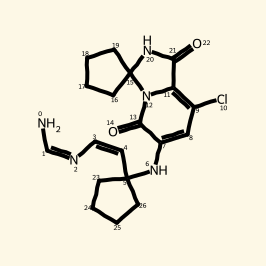 N/C=N\C=C/C1(Nc2cc(Cl)c3n(c2=O)C2(CCCC2)NC3=O)CCCC1